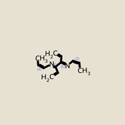 C=CC(=N\C=C/C)/C(C=C)=N/C=C\C